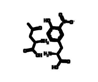 CC(=O)CC(N)C(=O)O.N[C@@H](Cc1ccc(O)c([N+](=O)[O-])c1)C(=O)O